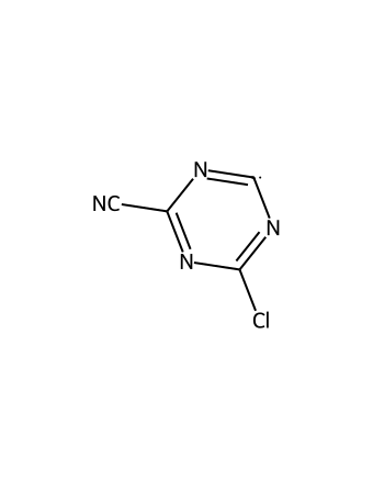 N#Cc1n[c]nc(Cl)n1